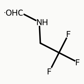 O=[C]NCC(F)(F)F